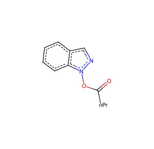 CCCC(=O)On1ncc2ccccc21